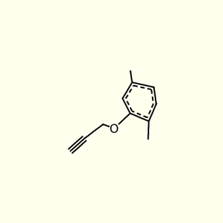 C#CCOc1cc(C)ccc1C